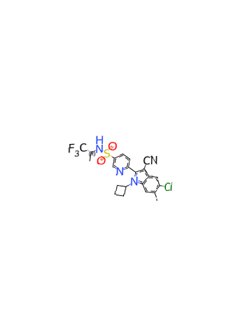 Cc1cc2c(cc1Cl)c(C#N)c(-c1ccc(S(=O)(=O)N[C@H](C)C(F)(F)F)cn1)n2C1CCC1